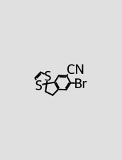 N#Cc1cc2c(cc1Br)CCC21SC=CS1